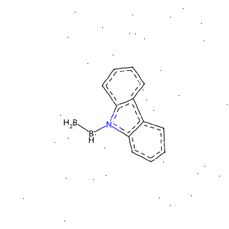 BBn1c2ccccc2c2ccccc21